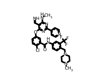 CNc1nc(-c2ccncc2)nc(Oc2ccc(Cl)c(C(=O)Nc3ccc(CN4CCN(C)CC4)c(C(F)(F)F)c3)c2)c1C=N